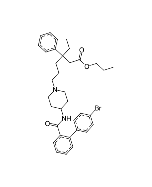 CCCOC(=O)CC(CC)(CCCN1CCC(NC(=O)c2ccccc2-c2ccc(Br)cc2)CC1)c1ccccc1